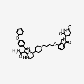 NC(=O)c1c(-c2ccc(Oc3ccccc3)cc2)nn2c1NCCC2C1CCN(CCCCSc2cccc3c2CN(C2CCC(=O)NC2=O)C3=O)CC1